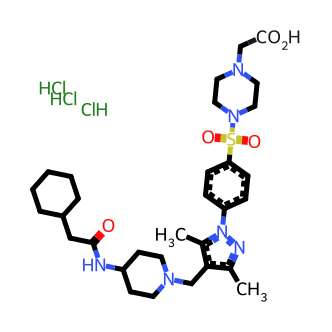 Cc1nn(-c2ccc(S(=O)(=O)N3CCN(CC(=O)O)CC3)cc2)c(C)c1CN1CCC(NC(=O)CC2CCCCC2)CC1.Cl.Cl.Cl